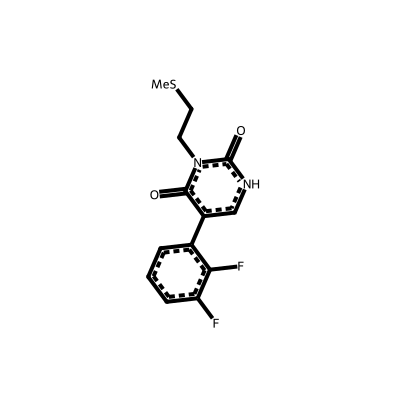 CSCCn1c(=O)[nH]cc(-c2cccc(F)c2F)c1=O